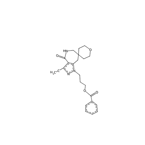 CCc1nn(CCCOC(=O)c2ccccc2)c2c1C(=O)NCC1(CCOCC1)C2